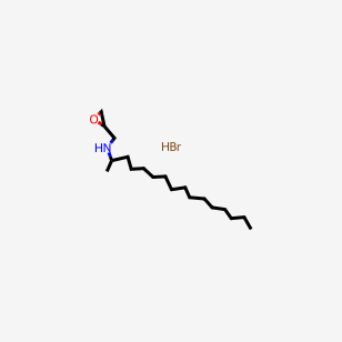 Br.CCCCCCCCCCCCCCC(C)NCC1CO1